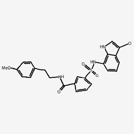 COc1ccc(CCNC(=O)c2cccc(S(=O)(=O)Nc3cccc4c(Cl)c[nH]c34)c2)cc1